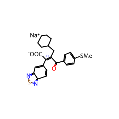 CSc1ccc(C(=O)/C(CC2CCCCC2)=C(/C(=O)[O-])c2ccc3nsnc3c2)cc1.[Na+]